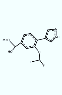 COC(O)c1ccc(-c2cn[nH]c2)c(OC(F)F)c1